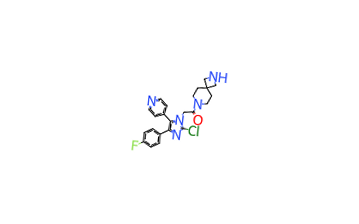 O=C(Cn1c(Cl)nc(-c2ccc(F)cc2)c1-c1ccncc1)N1CCC2(CC1)CNC2